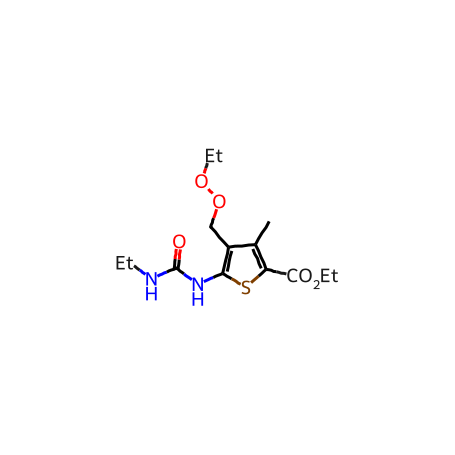 CCNC(=O)Nc1sc(C(=O)OCC)c(C)c1COOCC